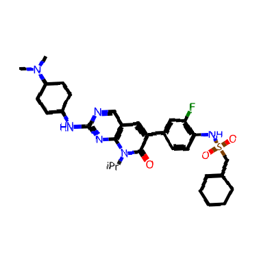 CC(C)n1c(=O)c(-c2ccc(NS(=O)(=O)CC3CCCCC3)c(F)c2)cc2cnc(NC3CCC(N(C)C)CC3)nc21